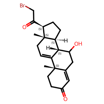 C[C@]12CCC(=O)C=C1CC(O)[C@@H]1C2=CC[C@]2(C)[C@@H](C(=O)CBr)CC[C@@H]12